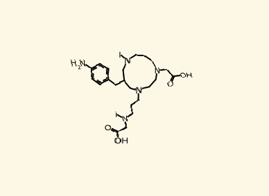 Nc1ccc(CC2CN(I)CCCN(CC(=O)O)CCN(CCCN(I)CC(=O)O)C2)cc1